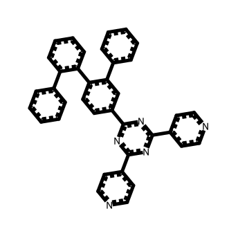 c1ccc(-c2ccccc2-c2ccc(-c3nc(-c4ccncc4)nc(-c4ccncc4)n3)cc2-c2ccccc2)cc1